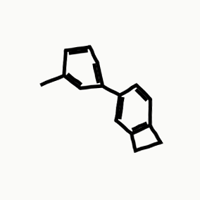 Cc1cccc(-c2ccc3c(c2)CC3)c1